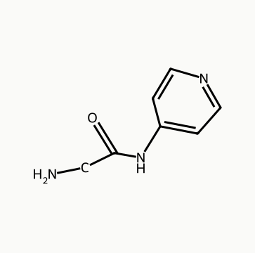 NCC(=O)Nc1ccncc1